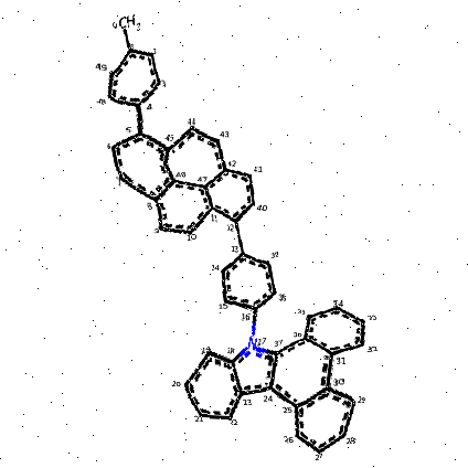 Cc1ccc(-c2ccc3ccc4c(-c5ccc(-n6c7ccccc7c7c8ccccc8c8ccccc8c76)cc5)ccc5ccc2c3c54)cc1